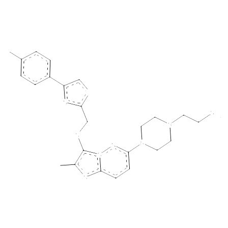 CCc1nc2ccc(N3CCN(CCN)CC3)nn2c1NCc1nc(-c2ccc(F)cc2)cs1